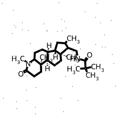 CC1C[C@H]2[C@@H]3CCC4N(C)C(=O)CC[C@]4(C)[C@@H]3CC[C@]2(C)C1CNC(=O)C(C)(C)C